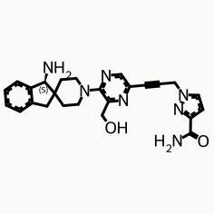 NC(=O)c1ccn(CC#Cc2cnc(N3CCC4(CC3)Cc3ccccc3[C@H]4N)c(CO)n2)n1